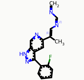 C=N/C=N\C=C(/C)c1cc2c(-c3ccccc3F)n[nH]c2cn1